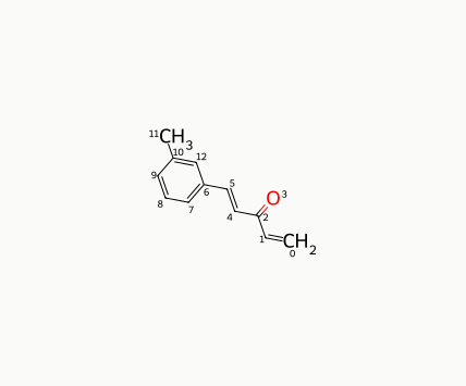 C=CC(=O)C=Cc1cccc(C)c1